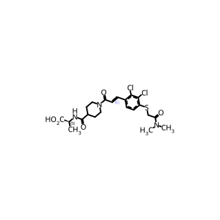 C[C@H](NC(=O)C1CCN(C(=O)/C=C/c2ccc(SCC(=O)N(C)C)c(Cl)c2Cl)CC1)C(=O)O